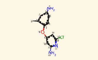 Cc1cc(N)ccc1Oc1cc(N)nc(Cl)c1